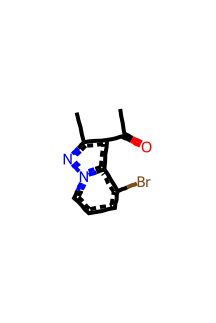 CC(=O)c1c(C)nn2cccc(Br)c12